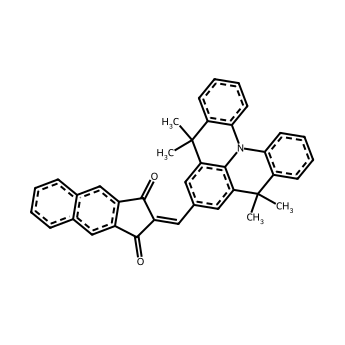 CC1(C)c2ccccc2N2c3ccccc3C(C)(C)c3cc(C=C4C(=O)c5cc6ccccc6cc5C4=O)cc1c32